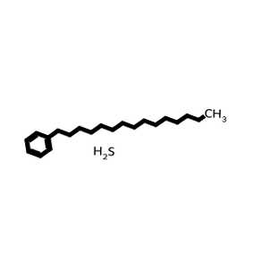 CCCCCCCCCCCCCCCc1ccccc1.S